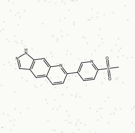 CS(=O)(=O)c1ccc(-c2ccc3cc4cn[nH]c4cc3n2)cn1